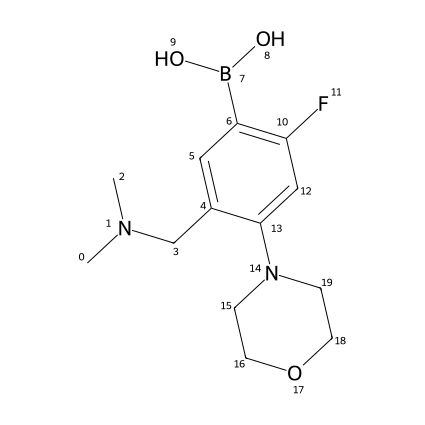 CN(C)Cc1cc(B(O)O)c(F)cc1N1CCOCC1